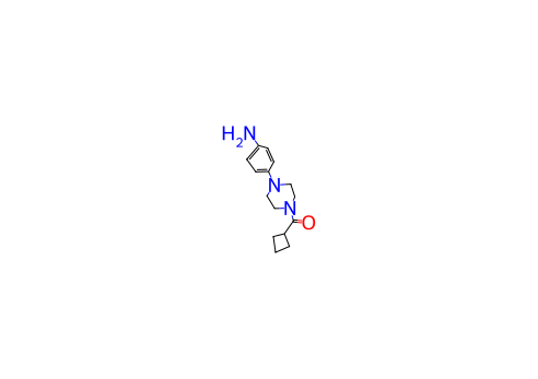 Nc1ccc(N2CCN(C(=O)C3CCC3)CC2)cc1